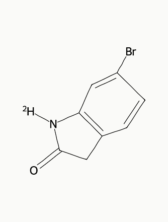 [2H]N1C(=O)Cc2ccc(Br)cc21